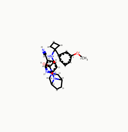 COc1cccc(C2(NCC(=O)N3CC4CCC(C3)N4c3ccc(C#N)cn3)CCC2)c1